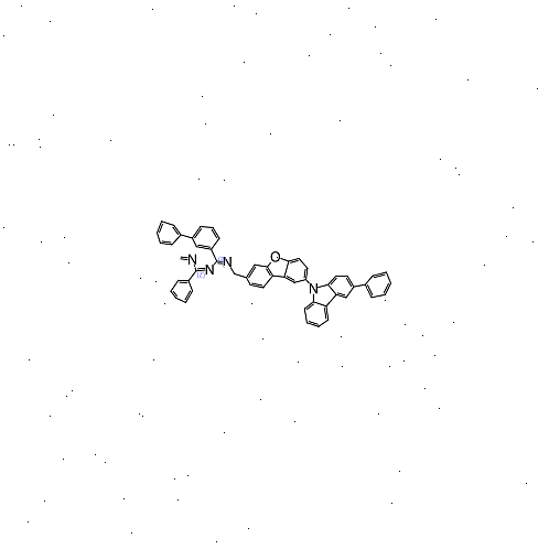 C=N/C(=N\C(=N/Cc1ccc2c(c1)oc1ccc(-n3c4ccccc4c4cc(-c5ccccc5)ccc43)cc12)c1cccc(-c2ccccc2)c1)c1ccccc1